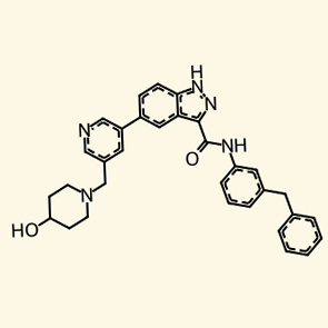 O=C(Nc1cccc(Cc2ccccc2)c1)c1n[nH]c2ccc(-c3cncc(CN4CCC(O)CC4)c3)cc12